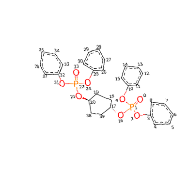 O=P(Oc1ccccc1)(Oc1ccccc1)O[C@H]1CC[C@H](OP(=O)(Oc2ccccc2)Oc2ccccc2)CC1